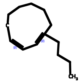 CCCC/C1=C/C=C\CCCCCC1